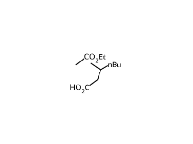 CCCCC(C)CC(=O)O.CCOC(C)=O